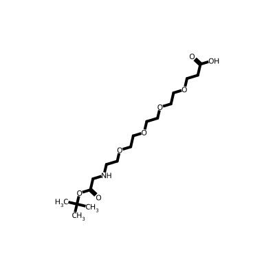 CC(C)(C)OC(=O)CNCCOCCOCCOCCOCCC(=O)O